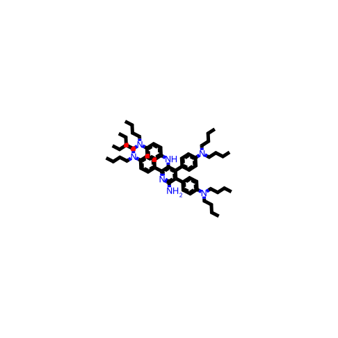 CCCCN(CCCC)c1ccc(Nc2c(-c3ccc(N(CCCC)CCCC)cc3)nc(N)c(-c3ccc(N(CCCC)CCCC)cc3)c2-c2ccc(N(CCCC)CCCC)cc2)cc1